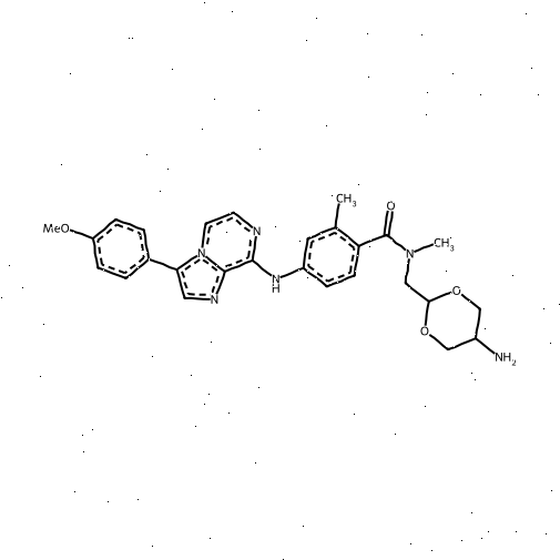 COc1ccc(-c2cnc3c(Nc4ccc(C(=O)N(C)CC5OCC(N)CO5)c(C)c4)nccn23)cc1